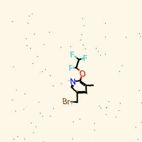 Cc1cc(CBr)cnc1OC(F)C(F)F